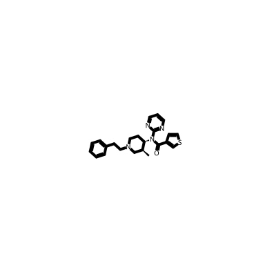 C[C@H]1CN(CCc2ccccc2)CC[C@@H]1N(C(=O)c1ccsc1)c1ncccn1